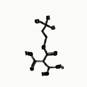 CC(O)C(C(=O)O)C(=O)OCCC(Cl)(Cl)Cl